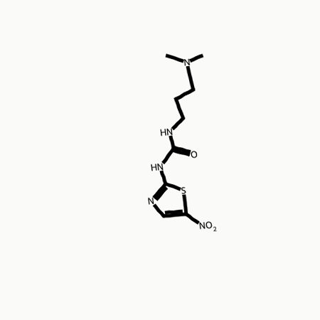 CN(C)CCCNC(=O)Nc1ncc([N+](=O)[O-])s1